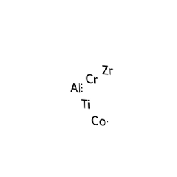 [Al].[Co].[Cr].[Ti].[Zr]